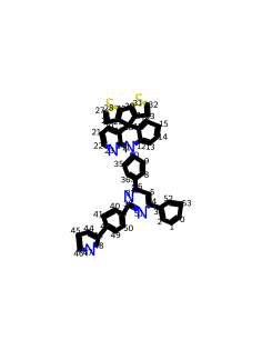 c1ccc(-c2cc(-c3ccc(N4c5ccccc5C5(c6cccnc64)c4ccsc4-c4sccc45)cc3)nc(-c3ccc(-c4cccnc4)cc3)n2)cc1